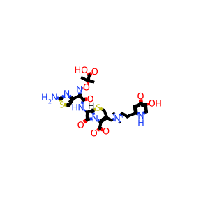 CC(C)(O/N=C(\C(=O)N[C@@H]1C(=O)N2C(C(=O)[O-])=C(C[N+](C)(C)CCc3cc(=O)c(O)c[nH]3)CS[C@H]12)c1csc(N)n1)C(=O)O